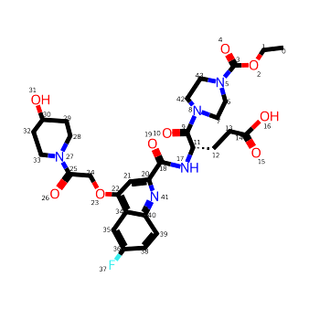 CCOC(=O)N1CCN(C(=O)[C@H](CCC(=O)O)NC(=O)c2cc(OCC(=O)N3CCC(O)CC3)c3cc(F)ccc3n2)CC1